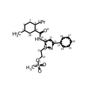 CC1CCC(C(C)C)C(C(=O)Nc2cc(-c3ccccc3)nn2CCOS(C)(=O)=O)C1